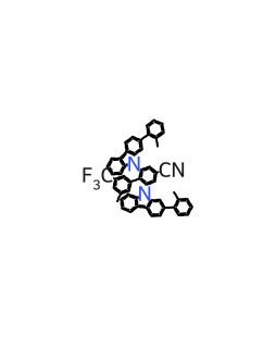 Cc1cc(-c2c(-n3c4ccccc4c4ccc(-c5ccccc5C)cc43)cc(C#N)cc2-n2c3ccccc3c3ccc(-c4ccccc4C)cc32)cc(C(F)(F)F)c1